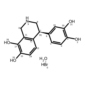 Br.O.Oc1ccc([C@@H]2CNCc3c2ccc(O)c3O)cc1O